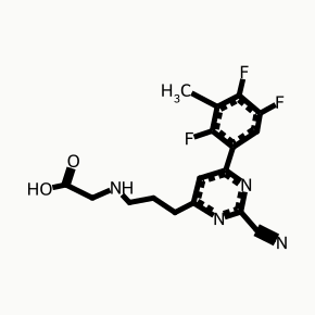 Cc1c(F)c(F)cc(-c2cc(CCCNCC(=O)O)nc(C#N)n2)c1F